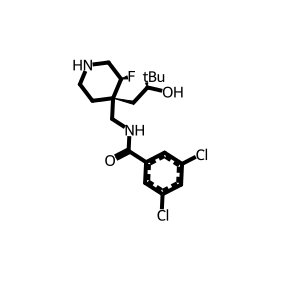 CC(C)(C)[C@H](O)C[C@@]1(CNC(=O)c2cc(Cl)cc(Cl)c2)CCNC[C@H]1F